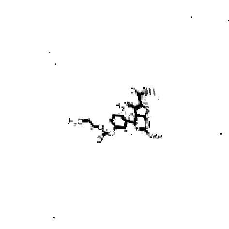 C=CCOC(=O)Oc1cccc(-c2nc(SC)nc3sc(C(N)=O)c(N)c23)c1